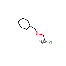 Cl[SiH2]COCC1CCCCC1